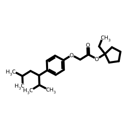 CCC1(OC(=O)COc2ccc(C(CC(C)C)C(C)C)cc2)CCCC1